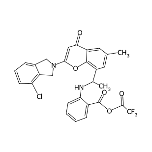 Cc1cc(C(C)Nc2ccccc2C(=O)OC(=O)C(F)(F)F)c2oc(N3Cc4cccc(Cl)c4C3)cc(=O)c2c1